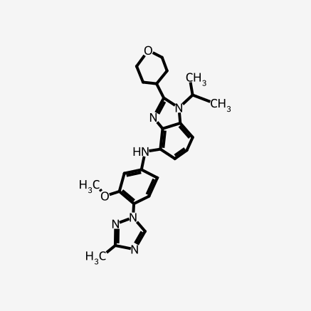 COc1cc(Nc2cccc3c2nc(C2CCOCC2)n3C(C)C)ccc1-n1cnc(C)n1